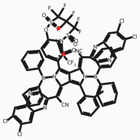 Cc1ccccc1-c1c2/c(=C(\C#N)c3cnc4cc(Cl)c(Cl)cc4n3)n(B(c3ccccc3)c3ccccc3)c(-c3ccc(OS(=O)(=O)C(F)(F)C(F)(F)C(F)(F)S(=O)(=O)NS(=O)(=O)C(F)(F)F)cc3)c2/c(=C(\C#N)c2cnc3cc(Cl)c(Cl)cc3n2)n1B(c1ccccc1)c1ccccc1